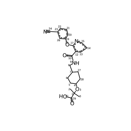 CC(C)(OC1CCC(CNC(=O)c2cccnc2Oc2cccc(C#N)c2)CC1)C(=O)O